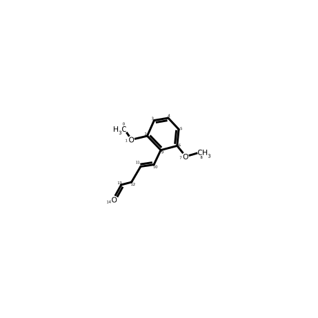 COc1cccc(OC)c1C=CC[C]=O